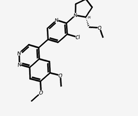 COC[C@H]1CCCN1c1ncc(-c2cnnc3cc(OC)c(OC)cc23)cc1Cl